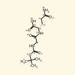 CC(C)(C)OC(=O)NCC(=O)N[C@@H](CCC(N)=O)C(=O)O